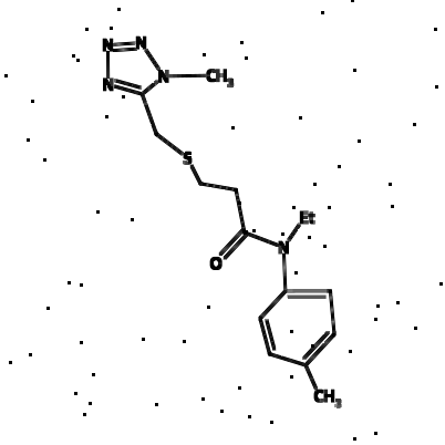 CCN(C(=O)CCSCc1nnnn1C)c1ccc(C)cc1